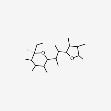 CC[C@@]1(C)OC(C(C)C(C)C2OC(C)C(C)C2C)C(C)C(C)C1C